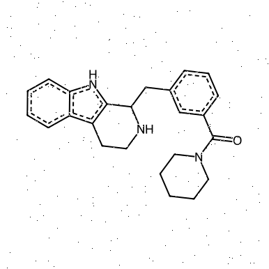 O=C(c1cccc(CC2NCCc3c2[nH]c2ccccc32)c1)N1CCCCC1